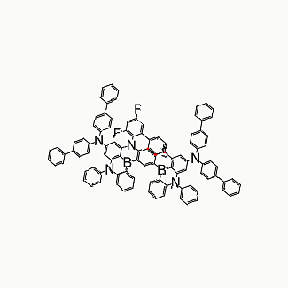 Fc1cc(F)c(N2c3cc4c(cc3B3c5ccccc5N(c5ccccc5)c5cc(N(c6ccc(-c7ccccc7)cc6)c6ccc(-c7ccccc7)cc6)cc2c53)B2c3ccccc3N(c3ccccc3)c3cc(N(c5ccc(-c6ccccc6)cc5)c5ccc(-c6ccccc6)cc5)cc(c32)S4)c(-c2ccccc2)c1